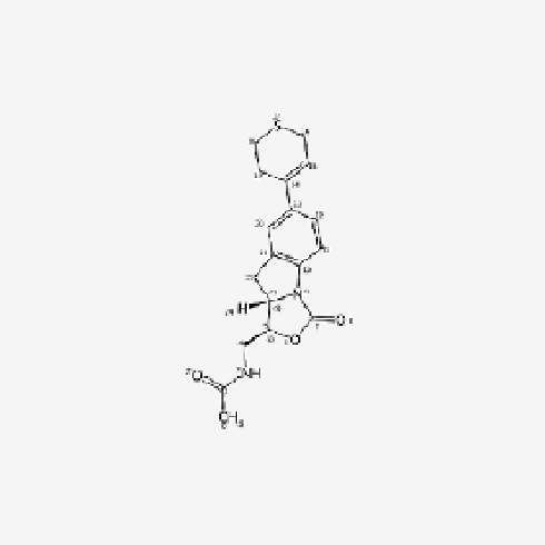 CC(=O)NC[C@@H]1OC(=O)N2c3ccc(C4=CCSCC4)cc3C[C@@H]12